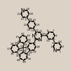 c1cncc(-c2cccc(-c3cc(-c4ccc(-c5ccncc5)cc4)nc(-c4ccc5c(c4)C4(c6ccccc6-c6ccccc64)c4ccccc4-5)n3)c2)c1